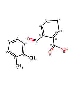 Cc1ccccc1C.O=Cc1ccccc1C(=O)O